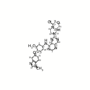 Cc1cc(Nc2ncnc3cnc(N4CCN5C(=O)COC[C@H]5C4)nc23)ccc1Oc1ccc2c(c1)ncn2C